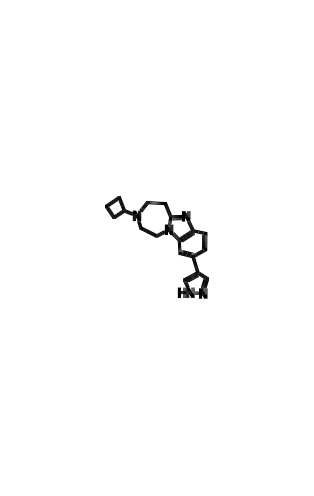 c1cc2nc3n(c2cc1-c1cn[nH]c1)CCN(C1CCC1)CC3